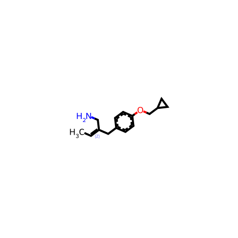 C/C=C(\CN)Cc1ccc(OCC2CC2)cc1